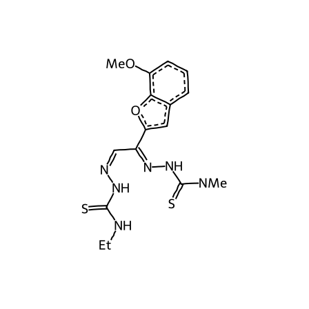 CCNC(=S)N/N=C\C(=N\NC(=S)NC)c1cc2cccc(OC)c2o1